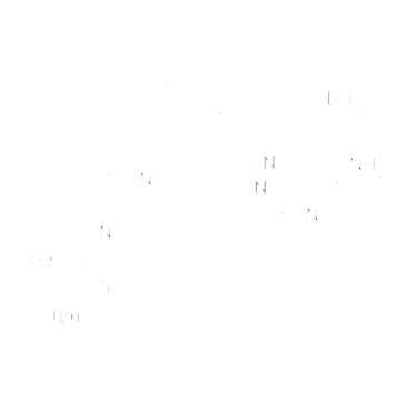 Bc1cc(-c2cccc(N3CCN(C(=O)OC(C)(C)C)CC3)c2)n2ncnc(N)c12